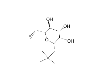 CC(C)(C)C[C@@H]1O[C@H](C=S)[C@@H](O)[C@H](O)[C@@H]1O